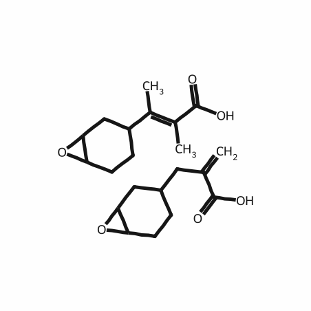 C/C(C(=O)O)=C(/C)C1CCC2OC2C1.C=C(CC1CCC2OC2C1)C(=O)O